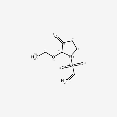 C=CS(=O)(=O)N1CCC(=O)C1OCC